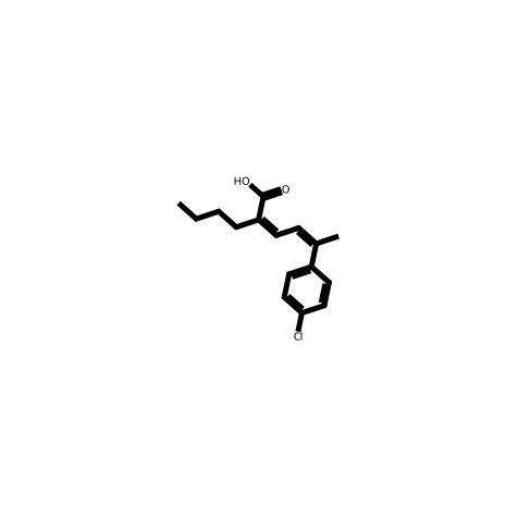 CCCC/C(=C/C=C(/C)c1ccc(Cl)cc1)C(=O)O